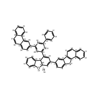 C1=C(c2ccc3sc4c5ccccc5ccc4c3c2)C=C(c2nc(-c3ccccc3)nc(-c3ccc4ccc5ccccc5c4c3)n2)C2c3ccccc3O[C@H]12